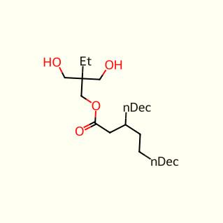 CCCCCCCCCCCCC(CCCCCCCCCC)CC(=O)OCC(CC)(CO)CO